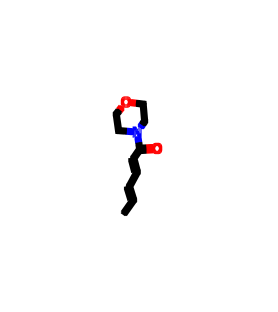 CC=CC=CC(=O)N1CCOCC1